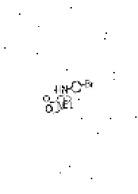 CCN1CCOC(=O)C1CC(=O)Nc1ccc(Br)cc1